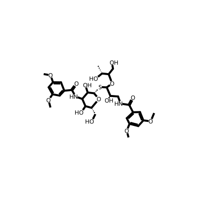 COc1cc(OC)cc(C(=O)NC[C@H](O)C(OC(CO)[C@@H](C)O)S[C@@H]2O[C@H](CO)C(O)C(NC(=O)c3cc(OC)cc(OC)c3)C2O)c1